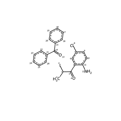 CC(I)C(=O)c1cc(Cl)ccc1N.O=C(c1ccccc1)c1ccccc1